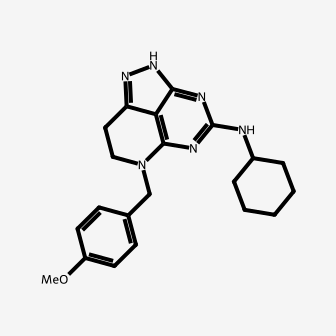 COc1ccc(CN2CCc3n[nH]c4nc(NC5CCCCC5)nc2c34)cc1